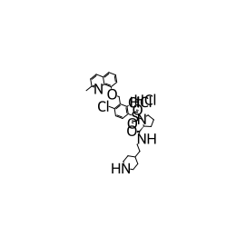 Cc1ccc2cccc(OCc3c(Cl)ccc(S(=O)(=O)N4CCC[C@H]4C(=O)NCCC4CCNCC4)c3Cl)c2n1.Cl.Cl